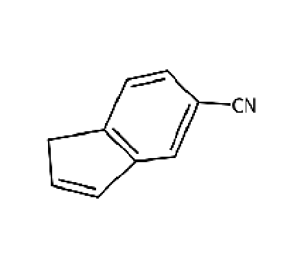 N#Cc1ccc2c(c1)C=CC2